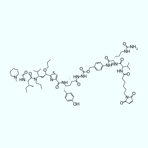 CCCO[C@H](C[C@H](C(C)C)N(CCC)C(=O)[C@@H](NC(=O)[C@H]1CCCCN1C)[C@@H](C)CC)c1nc(C(=O)N[C@@H](Cc2ccc(O)cc2)C[C@H](C)C(=O)NNC(=O)OCc2ccc(NC(=O)[C@H](CCCNC(N)=O)NC(=O)C(NC(=O)CCCCCN3C(=O)C=CC3=O)C(C)C)cc2)cs1